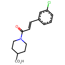 O=C(O)C1CCN(C(=O)C=Cc2cccc(Cl)c2)CC1